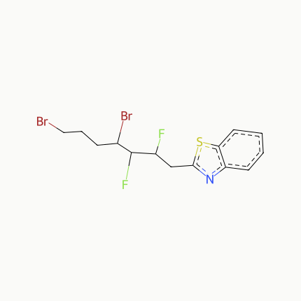 FC(Cc1nc2ccccc2s1)C(F)C(Br)CCCBr